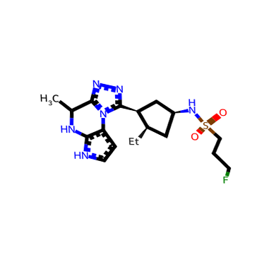 CC[C@@H]1C[C@H](NS(=O)(=O)CCCF)C[C@@H]1c1nnc2n1-c1cc[nH]c1NC2C